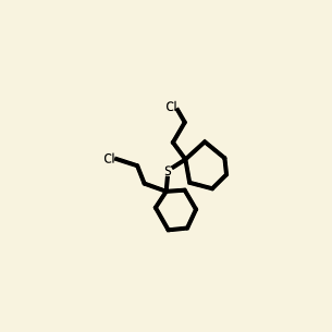 ClCCC1(SC2(CCCl)CCCCC2)CCCCC1